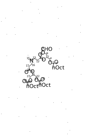 CCCCCCCCC(=O)OCC(COC=O)OC(=O)CCN(C)CCC(=O)OC(COC(=O)CCCCCCCC)COC(=O)CCCCCCCC